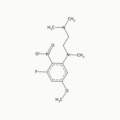 COc1cc(F)c([N+](=O)[O-])c(N(C)CCN(C)C)c1